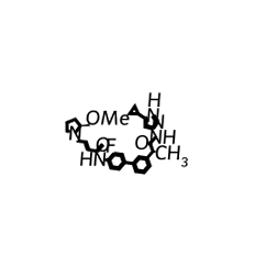 COC[C@@H]1CCCN1C/C=C/C(=O)Nc1ccc(-c2cccc([C@H](C)C(=O)Nc3cc(C4CC4)[nH]n3)c2)cc1F